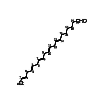 CCC=CCC=CCC=CCC=CCC=CCCCCCC=O